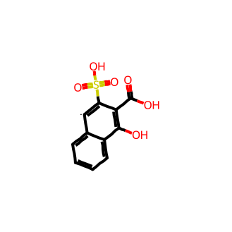 O=C(O)c1c(S(=O)(=O)O)[c]c2ccccc2c1O